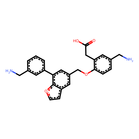 NCc1cccc(-c2cc(COc3ccc(CN)cc3CC(=O)O)cc3ccoc23)c1